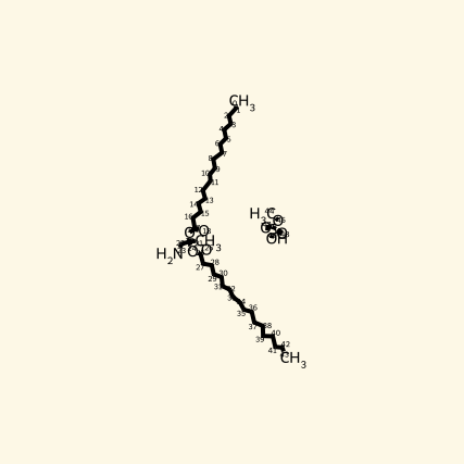 CCCCCCCCCCCCCCCCCC(=O)OC(C)(CN)OC(=O)CCCCCCCCCCCCCCCCC.COS(=O)(=O)O